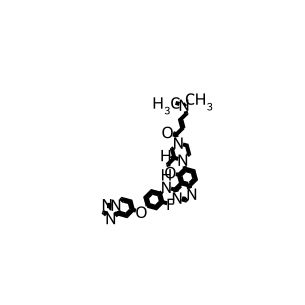 CN(C)C/C=C/C(=O)N1CCN2c3ccc4ncnc(Nc5ccc(Oc6ccn7ncnc7c6)cc5F)c4c3OC[C@@H]2C1